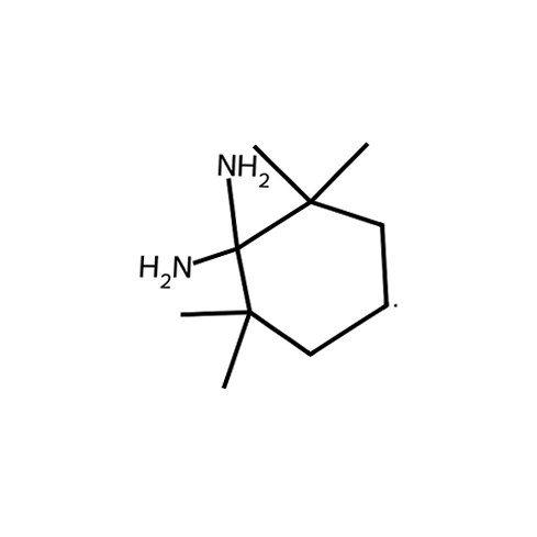 CC1(C)C[CH]CC(C)(C)C1(N)N